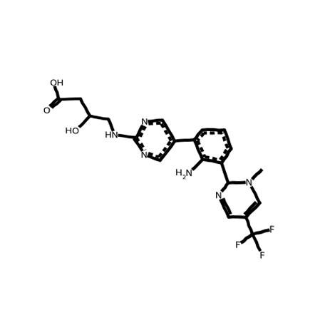 CN1C=C(C(F)(F)F)C=NC1c1cccc(-c2cnc(NCC(O)CC(=O)O)nc2)c1N